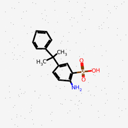 CC(C)(c1ccccc1)c1ccc(N)c(S(=O)(=O)O)c1